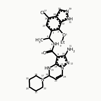 CCOc1c(C(C)NC(=O)c2c(N)nn3c2NC(N2CCCCC2)C=C3)cc(Cl)c2cn[nH]c12